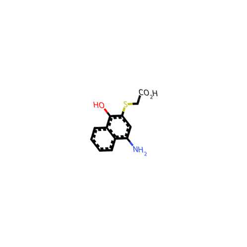 Nc1cc(SCC(=O)O)c(O)c2ccccc12